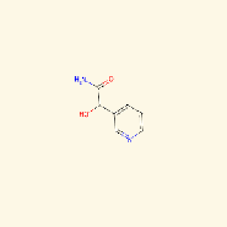 NC(=O)C(O)c1c[c]cnc1